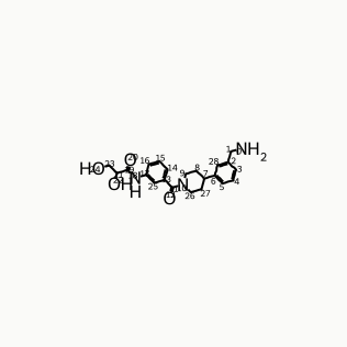 NCc1cccc(C2CCN(C(=O)c3cccc(NC(=O)C(O)CO)c3)CC2)c1